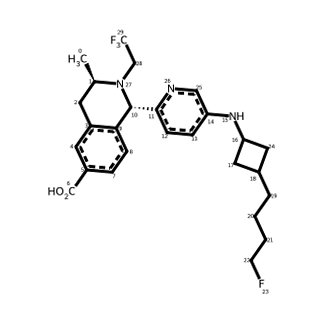 C[C@@H]1Cc2cc(C(=O)O)ccc2[C@@H](c2ccc(NC3CC(CCCCF)C3)cn2)N1CC(F)(F)F